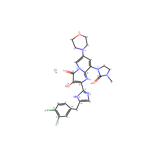 CN1CCN(c2cc(N3CCOCC3)cn3c(=O)c(O)c(C4=[N+]C=C(Cc5ccc(F)c(Cl)c5)N4)nc23)C1=O.[Cl-]